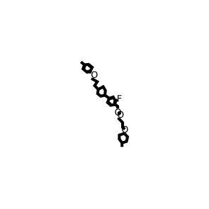 Cc1ccc(OCCCC2CCC(c3ccc(COOCCCOC4CCC(C)CC4)c(F)c3)CC2)cc1